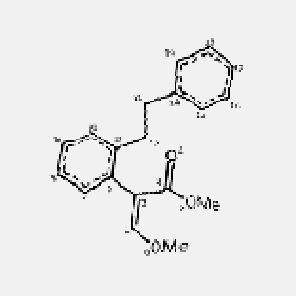 COC=C(C(=O)OC)c1ccccc1CCc1ccccc1